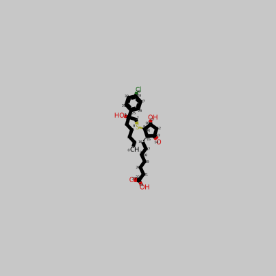 CCCCCC(O)(CS[C@H]1C(O)CC(=O)[C@@H]1CCCCCCC(=O)O)c1ccc(Cl)cc1